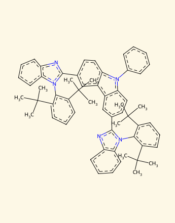 CC(C)(C)c1cccc(C(C)(C)C)c1-n1c(-c2ccc3c(c2)c2cc(-c4nc5ccccc5n4-c4c(C(C)(C)C)cccc4C(C)(C)C)ccc2n3-c2ccccc2)nc2ccccc21